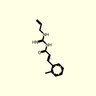 C=CCNC(=N)NC(=O)/C=C/c1ccccc1C